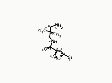 CCc1cc(C(=O)NCC(C)(C)CN)no1